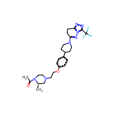 CC(=O)N1CCN(CCOc2ccc(C3CCN(C4=Nn5c(nnc5C(F)(F)F)CC4)CC3)cc2)C[C@H]1C